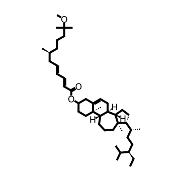 CC[C@H](CC[C@@H](C)[C@H]1CC[C@H]2[C@@H]3CC=C4CC(OC(=O)/C=C/C=C/C[C@@H](C)CCCC(C)(C)OC)CC[C@]4(C)[C@H]3CCC[C@]12C)C(C)C